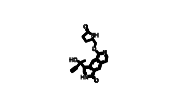 C#CC(C)(O)c1c[nH]c(=O)c2cc3ccnc(OCC4CCC(=O)N4)c3cc12